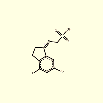 O=S(=O)(O)C/N=C1/CCc2c(F)cc(Br)cc21